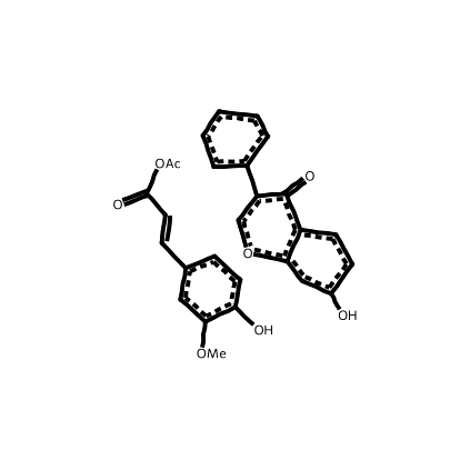 COc1cc(C=CC(=O)OC(C)=O)ccc1O.O=c1c(-c2ccccc2)coc2cc(O)ccc12